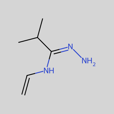 C=CN/C(=N\N)C(C)C